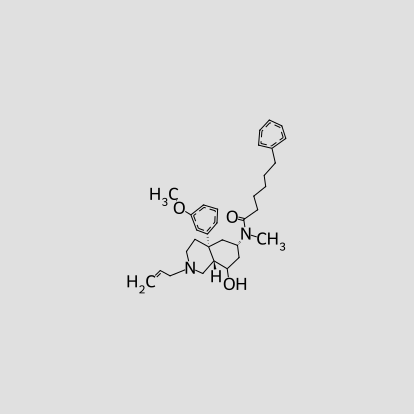 C=CCN1CC[C@@]2(c3cccc(OC)c3)C[C@H](N(C)C(=O)CCCCCc3ccccc3)CC(O)[C@@H]2C1